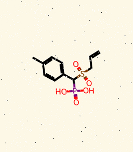 C=CCS(=O)(=O)C(c1ccc(C)cc1)P(=O)(O)O